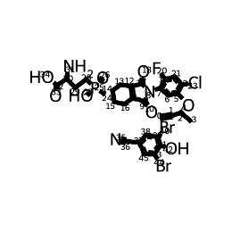 C#CC(C)Oc1cc(N2C(=O)C3=C(CCCC3)C2=O)c(F)cc1Cl.CP(=O)(O)CCC(N)C(=O)O.N#Cc1cc(Br)c(O)c(Br)c1